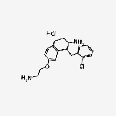 Cl.NCCOc1ccc2c(c1)C(Cc1ccccc1Cl)C(N)CC2